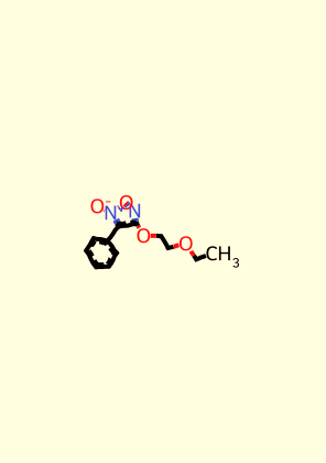 CCOCCOc1no[n+]([O-])c1-c1ccccc1